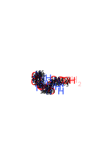 BCC(C)C(O)CC(=O)NC(CC)C(=O)N(C)CC(=O)N(C)CC(=O)NCC(=O)N(C)C(CC(C)C)C(=O)NCC(=O)NC(C)C(=O)N(C)CC(=O)N(C)CC(=O)N(C)C(C(=O)NC)C(C)C